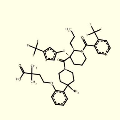 CCC[C@H]1N(C(=O)c2cnccc2C(F)(F)F)CCC[C@@]1(Oc1csc(C(F)(F)F)c1)C(=O)N1CCC(N)(c2ccccc2OCCC(C)(C)C(=O)O)CC1